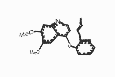 CC=Cc1ccccc1Oc1ccnc2cc(OC)c(OC)cc12